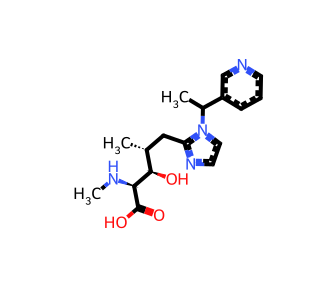 CN[C@H](C(=O)O)[C@H](O)[C@H](C)Cc1nccn1C(C)c1cccnc1